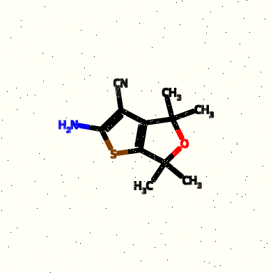 CC1(C)OC(C)(C)c2c1sc(N)c2C#N